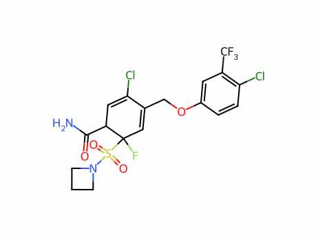 NC(=O)C1C=C(Cl)C(COc2ccc(Cl)c(C(F)(F)F)c2)=CC1(F)S(=O)(=O)N1CCC1